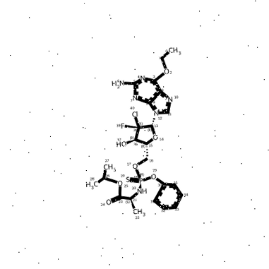 CCOc1nc(N)nc2c1ncn2[C@@H]1O[C@H](CO[P@](=S)(N[C@@H](C)C(=O)OC(C)C)Oc2ccccc2)[C@@H](O)[C@]1(F)Cl